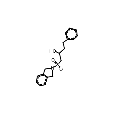 O=S(=O)(CC(O)CCc1ccccc1)N1Cc2ccccc2C1